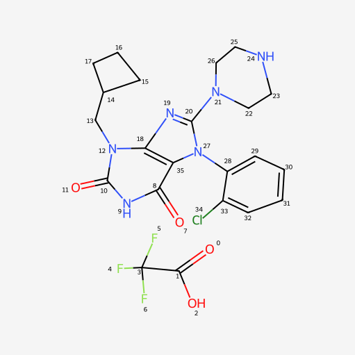 O=C(O)C(F)(F)F.O=c1[nH]c(=O)n(CC2CCC2)c2nc(N3CCNCC3)n(-c3ccccc3Cl)c12